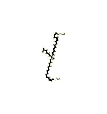 CCCCC/C=C\C/C=C\CCCCCCCCNN(CCCCCCCC/C=C\C/C=C\CCCCC)CCCCN(C)C